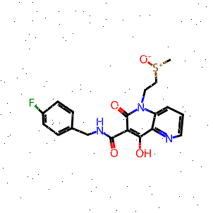 C[S+]([O-])CCn1c(=O)c(C(=O)NCc2ccc(F)cc2)c(O)c2ncccc21